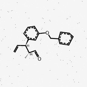 C=C[C@@H](c1cccc(OCc2ccccc2)c1)[C@@H](C)C=O